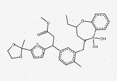 CCC1CN(Cc2cc(C(CC(=O)OC)c3ccc(C4(C)OCCO4)o3)ccc2C)S(O)(O)c2ccccc2O1